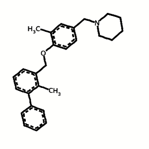 Cc1cc(CN2CCCCC2)ccc1OCc1cccc(-c2ccccc2)c1C